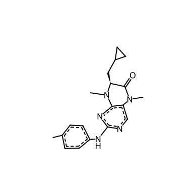 Cc1ccc(Nc2ncc3c(n2)N(C)[C@@H](CC2CC2)C(=O)N3C)cc1